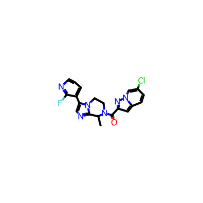 CC1c2ncc(-c3cccnc3F)n2CCN1C(=O)c1cc2ccc(Cl)cn2n1